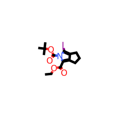 CCOC(=O)c1c2c(c(I)n1C(=O)OC(C)(C)C)CCC2